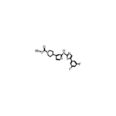 CC(C)(C)OC(=O)N1CCC(c2ccnc(Nc3ncc(-c4cc(F)cc(F)c4)s3)c2)CC1